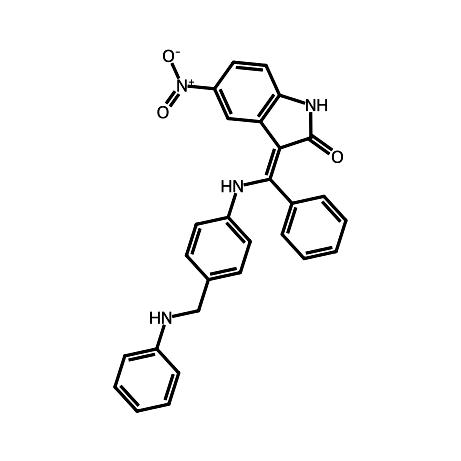 O=C1Nc2ccc([N+](=O)[O-])cc2C1=C(Nc1ccc(CNc2ccccc2)cc1)c1ccccc1